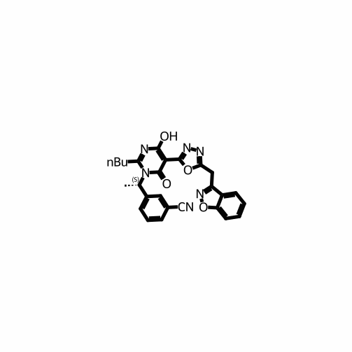 CCCCc1nc(O)c(-c2nnc(Cc3noc4ccccc34)o2)c(=O)n1[C@@H](C)c1cccc(C#N)c1